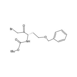 CC(C)(C)OC(=O)N[C@@H](CCOCc1ccccc1)C(=O)CBr